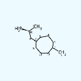 B[C@@H](C)CC1CCCC(C)CCC1